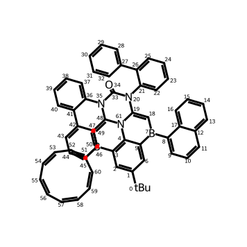 CC(C)(C)c1cc2c3c(c1)B(c1cccc4ccccc14)C=C1N(c4ccccc4-c4ccccc4)C(=O)N(c4ccccc4-c4ccccc4)C(=CB2c2ccccccccc2)N13